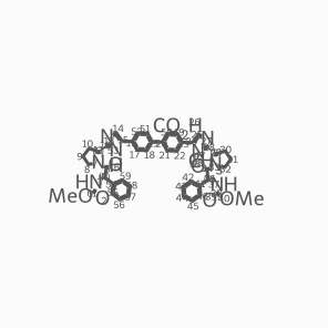 COC(=O)N[C@@H](C(=O)N1CCC[C@H]1c1ncc(-c2ccc(-c3ccc(-c4c(C(=O)O)nc([C@@H]5CCCN5C(=O)[C@H](NC(=O)OC)c5ccccc5)n4C)cc3)cc2)[nH]1)c1ccccc1